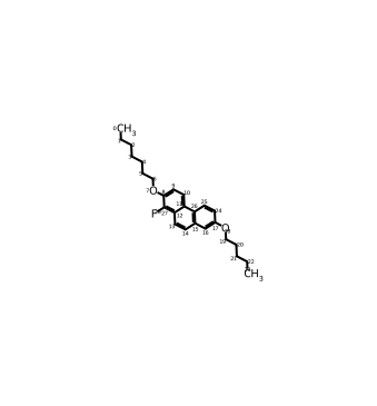 CCCCCCCOc1ccc2c(ccc3cc(OCCCCC)ccc32)c1F